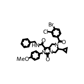 COc1ccc(-n2c(C(=O)NCc3ccccc3)c3n(c2=O)CC(C2CC2)N(C(=O)c2ccc(Br)c(Cl)c2)C3)cc1